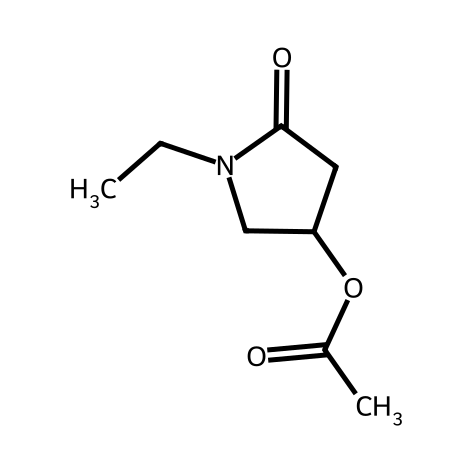 CCN1CC(OC(C)=O)CC1=O